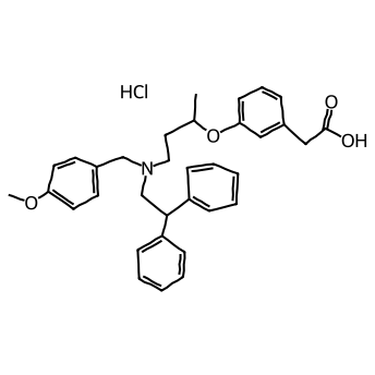 COc1ccc(CN(CCC(C)Oc2cccc(CC(=O)O)c2)CC(c2ccccc2)c2ccccc2)cc1.Cl